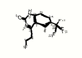 O=c1nc(CCF)c2cc(C(F)(F)F)ccc2[nH]1